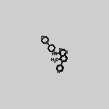 Cc1c(-c2ccncc2)ccc2ncnc(N[C@H]3CC[C@H](N4CCOCC4)CC3)c12